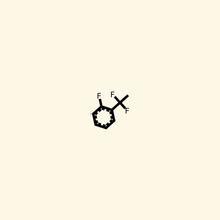 CC(F)(F)c1ccc[c]c1F